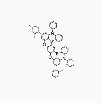 Cc1ccc(-c2cc3c4c(c2)N(c2ccccc2)c2ccccc2B4c2cc4c(cc2O3)Oc2cc(-c3ccc(C)cc3C)cc3c2B4c2ccccc2N3c2ccccc2)c(C)c1